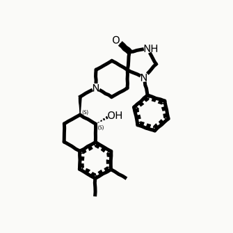 Cc1cc2c(cc1C)[C@@H](O)[C@H](CN1CCC3(CC1)C(=O)NCN3c1ccccc1)CC2